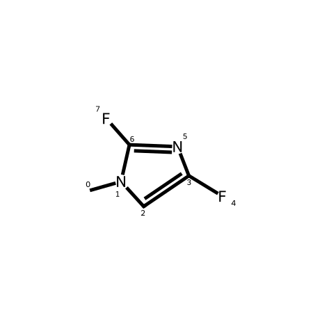 Cn1cc(F)nc1F